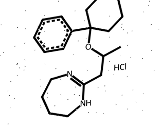 CC(CC1=NCCCCN1)OC1(c2ccccc2)CCCCC1.Cl